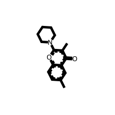 Cc1ccc2oc(N3CCCCC3)c(C)c(=O)c2c1